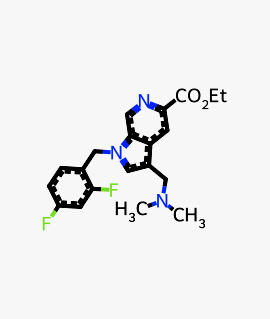 CCOC(=O)c1cc2c(CN(C)C)cn(Cc3ccc(F)cc3F)c2cn1